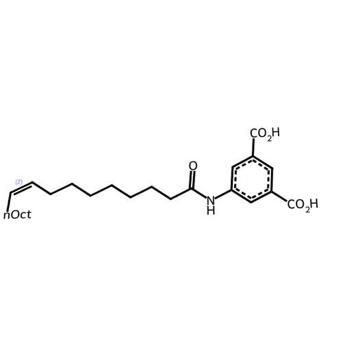 CCCCCCCC/C=C\CCCCCCCC(=O)Nc1cc(C(=O)O)cc(C(=O)O)c1